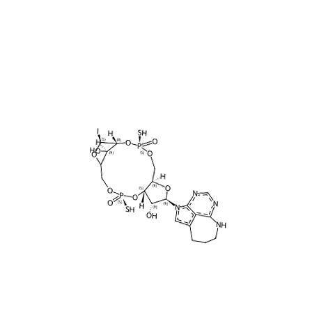 O=[P@]1(S)OC[C@H]2O[C@@H](n3cc4c5c(ncnc53)NCCC4)[C@H](O)[C@@H]2O[P@@](=O)(S)OCC2O[C@@H](I)[C@H](O1)[C@@H]2O